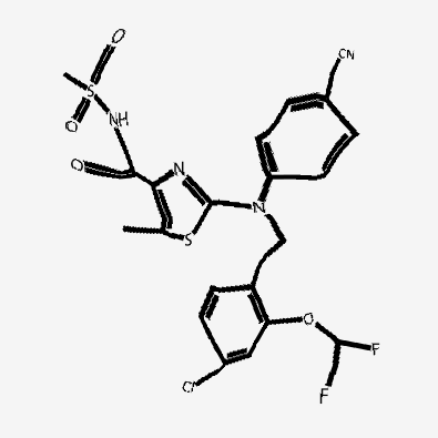 Cc1sc(N(Cc2ccc(Cl)cc2OC(F)F)c2ccc(C#N)cc2)nc1C(=O)NS(C)(=O)=O